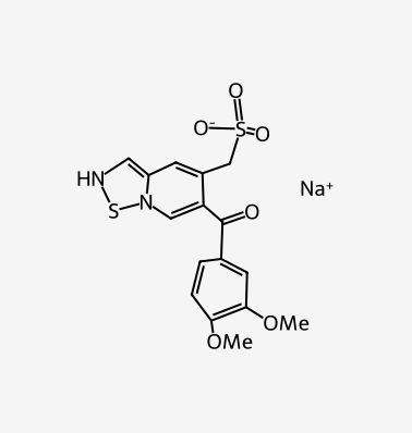 COc1ccc(C(=O)C2=CN3SNC=C3C=C2CS(=O)(=O)[O-])cc1OC.[Na+]